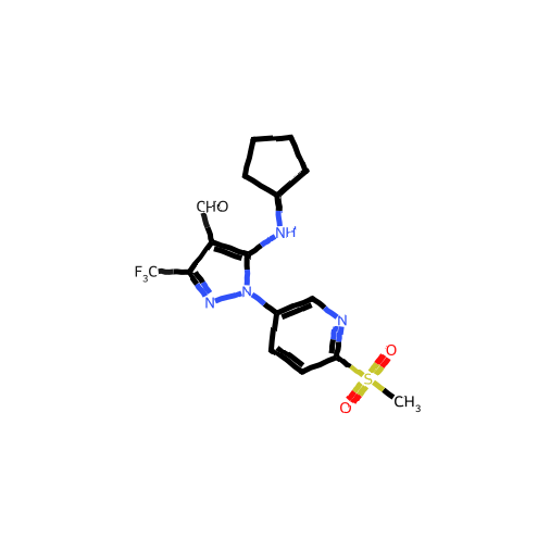 CS(=O)(=O)c1ccc(-n2nc(C(F)(F)F)c(C=O)c2NC2CCCC2)cn1